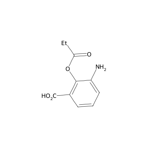 CCC(=O)Oc1c(N)cccc1C(=O)O